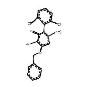 Cc1cc(OCc2ccccc2)c(Br)c(=O)n1-c1c(Cl)cccc1Cl